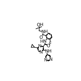 CC(C)(O)CNC(=O)c1cccc(F)c1NC(=O)c1nc(C2CC2)cnc1Nc1cncnc1